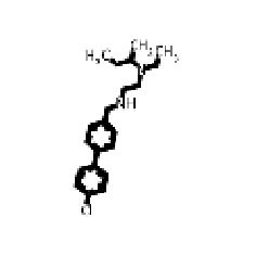 CCC(C)N(CC)CCNCc1ccc(-c2ccc(Cl)cc2)cc1